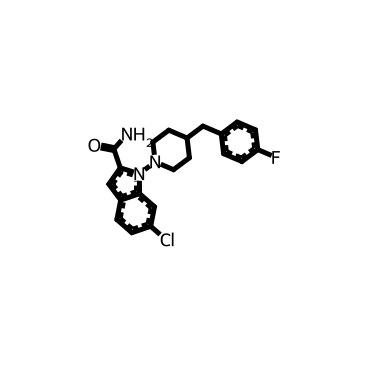 NC(=O)c1cc2ccc(Cl)cc2n1N1CCC(Cc2ccc(F)cc2)CC1